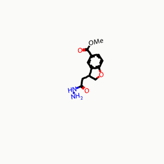 COC(=O)c1ccc2c(c1)C(CC(=O)NN)CO2